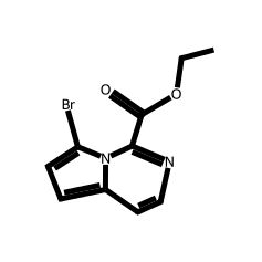 CCOC(=O)c1nccc2ccc(Br)n12